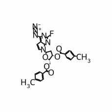 Cc1ccc(C(=O)OC[C@@H]2O[C@@H](n3ccc4c(N=[N+]=[N-])nc(F)nc43)C[C@@H]2OC(=O)c2ccc(C)cc2)cc1